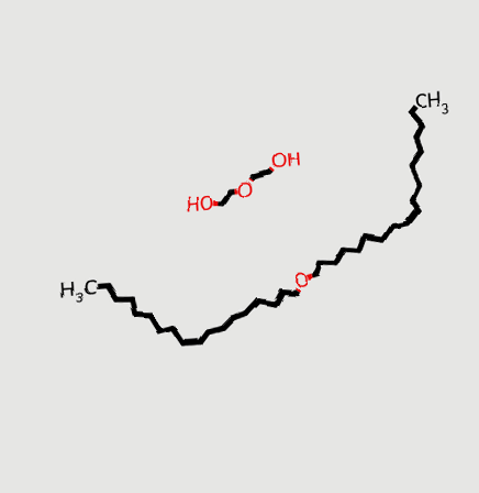 CCCCCCCC/C=C\CCCCCCCCOCCCCCCCC/C=C\CCCCCCCC.OCCOCCO